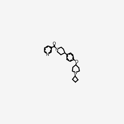 O=C(c1cccnc1)N1CCC(c2ccc(OC3CCN(C4CCC4)CC3)cc2)CC1